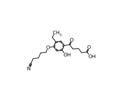 CCc1cc(C(=O)CCCC(=O)O)c(O)cc1OCCCCC#N